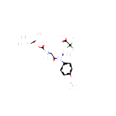 COc1ccc(N(C)C(=O)CNC(=O)OC(C)(C)C)cc1.O=C(O)C(F)(F)F